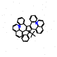 CC(C)(C)[Si]1(c2ccccc2)C(c2cccc3cccnc23)=C(c2ccccc2)C(c2ccccc2)=C1c1cccc2cccnc12